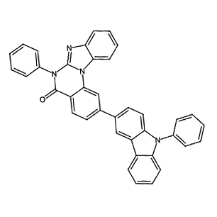 O=c1c2ccc(-c3ccc4c(c3)c3ccccc3n4-c3ccccc3)cc2n2c3ccccc3nc2n1-c1ccccc1